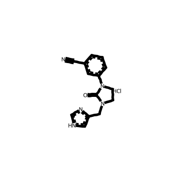 Cl.N#Cc1cccc(N2CCN(Cc3c[nH]cn3)C2=O)c1